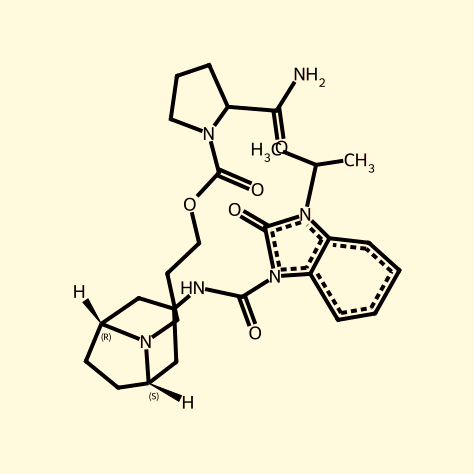 CC(C)n1c(=O)n(C(=O)NC2C[C@H]3CC[C@@H](C2)N3CCCOC(=O)N2CCCC2C(N)=O)c2ccccc21